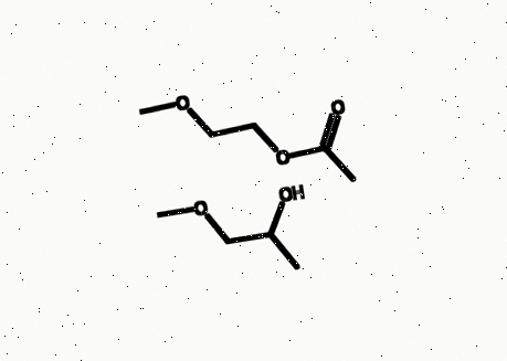 COCC(C)O.COCCOC(C)=O